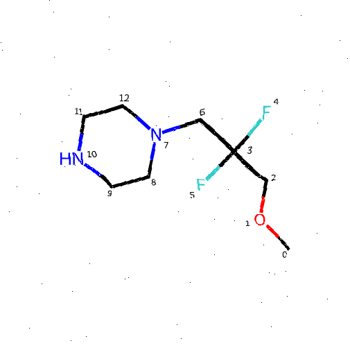 COCC(F)(F)CN1CCNCC1